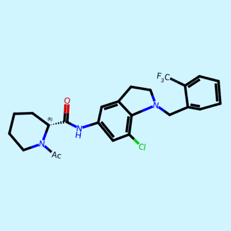 CC(=O)N1CCCC[C@@H]1C(=O)Nc1cc(Cl)c2c(c1)CCN2Cc1ccccc1C(F)(F)F